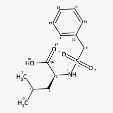 CC(C)C[C@H](NS(=O)(=O)Cc1ccccc1)C(=O)O